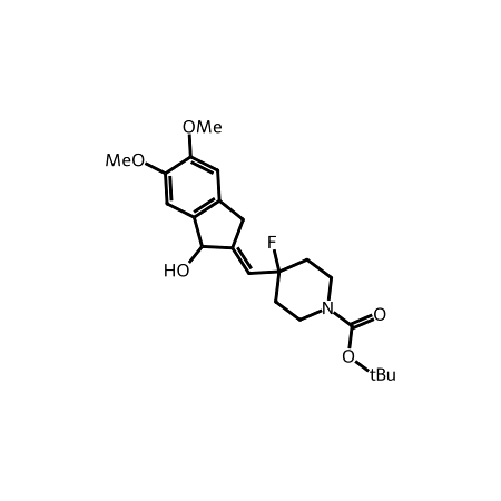 COc1cc2c(cc1OC)C(O)/C(=C/C1(F)CCN(C(=O)OC(C)(C)C)CC1)C2